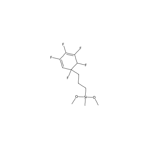 CO[Si](C)(CCCC1(F)C=C(F)C(F)=C(F)C1F)OC